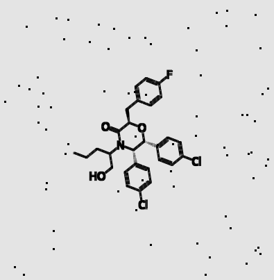 CCCC(CO)N1C(=O)[C@@H](Cc2ccc(F)cc2)O[C@H](c2ccc(Cl)cc2)[C@@H]1c1ccc(Cl)cc1